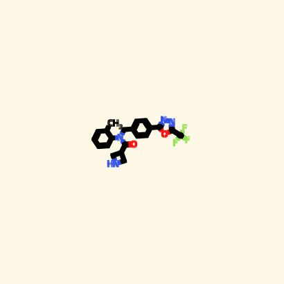 CC1C=CC=CC1N(Cc1ccc(-c2nnc(C(F)(F)F)o2)cc1)C(=O)C1CNC1